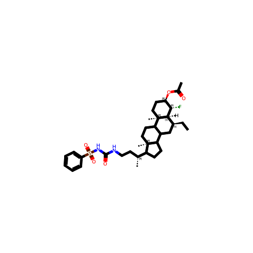 CC[C@H]1CC2C3CCC([C@H](C)CCNC(=O)NS(=O)(=O)c4ccccc4)[C@@]3(C)CCC2[C@@]2(C)CC[C@@H](OC(C)=O)[C@H](F)[C@@H]12